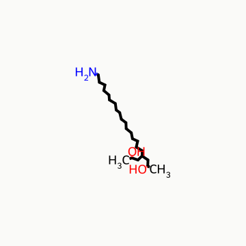 CC(O)CC(CCCCCCCCCCCCCCCCCN)CC(C)O